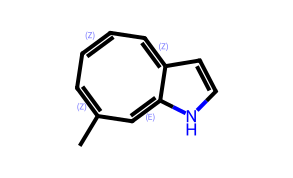 CC1=C/C=C\C=c2\cc[nH]\c2=C\1